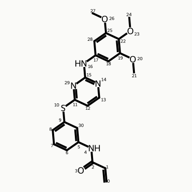 C=CC(=O)Nc1cccc(Sc2ccnc(Nc3cc(OC)c(OC)c(OC)c3)n2)c1